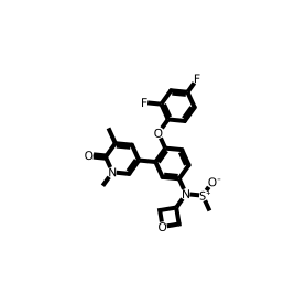 Cc1cc(-c2cc(N(C3COC3)[S+](C)[O-])ccc2Oc2ccc(F)cc2F)cn(C)c1=O